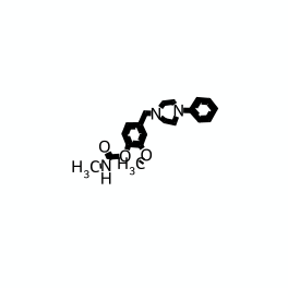 CNC(=O)Oc1ccc(CN2CCN(c3ccccc3)CC2)cc1OC